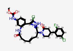 COC(=O)Nc1ccc2c(c1)NC(=O)CC/C=C/CC(N1CCC(c3cc(Cl)ccc3F)CC1=O)c1nc-2c(Cl)[nH]1